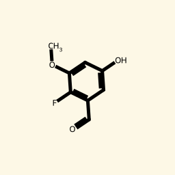 COc1cc(O)cc(C=O)c1F